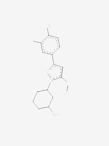 CCOc1cc(-c2ccc(C#N)c(F)c2)nn1C1CCCC(N)C1